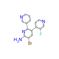 Nc1nc(-c2cccnc2)c(-c2ccncc2F)cc1Br